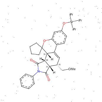 COC[C@H]1C=C2c3ccc(O[Si](C(C)C)(C(C)C)C(C)C)cc3OC3(CCCC3)[C@H]2[C@H]2C(=O)N(c3ccccc3)C(=O)[C@H]21